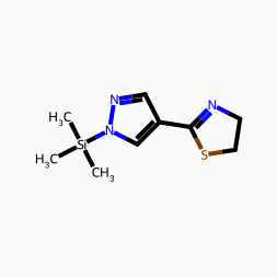 C[Si](C)(C)n1cc(C2=NCCS2)cn1